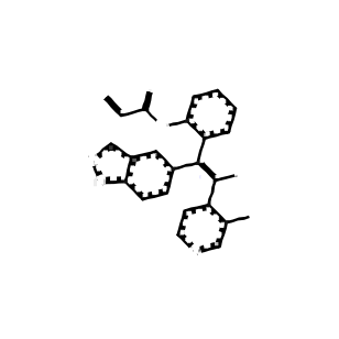 C=CC(=O)Oc1ccccc1/C(=C(\CC)c1ccncc1C)c1ccc2[nH]ncc2c1